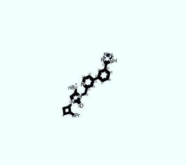 CCCCc1cn(C2CCC2C(C)C)c(=O)n1Cc1cc(-c2cccc(-c3nnn[nH]3)c2)ccn1